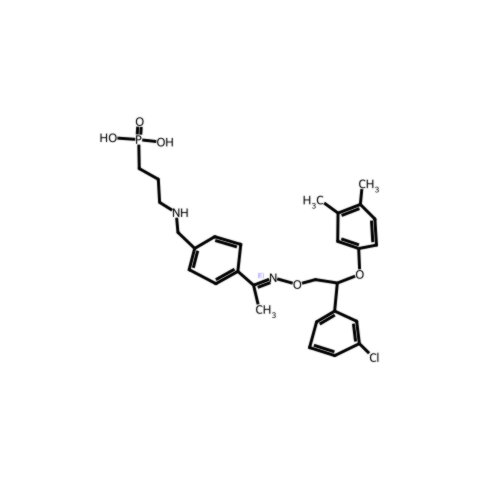 C/C(=N\OCC(Oc1ccc(C)c(C)c1)c1cccc(Cl)c1)c1ccc(CNCCCP(=O)(O)O)cc1